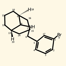 Brc1cccc(CNC2[C@H]3CCC[C@H]2CCC3)c1